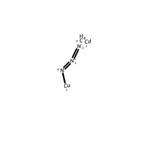 C.[Cd].[N-]=[N+]=[N][Cu]